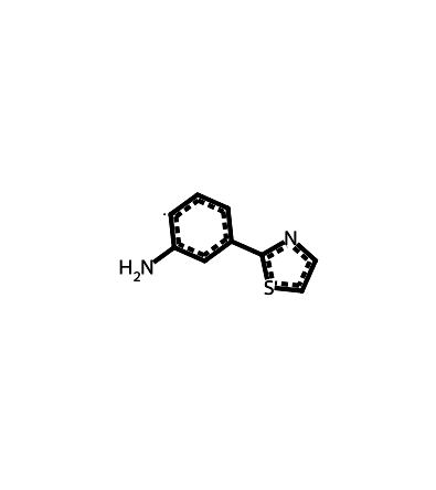 Nc1[c]ccc(-c2nccs2)c1